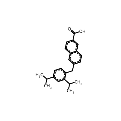 CC(C)c1ccc(Cc2ccc3cc(C(=O)O)ccc3c2)c(C(C)C)c1